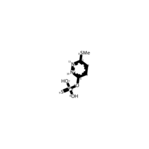 CSc1ccc(OP(O)(O)=S)nn1